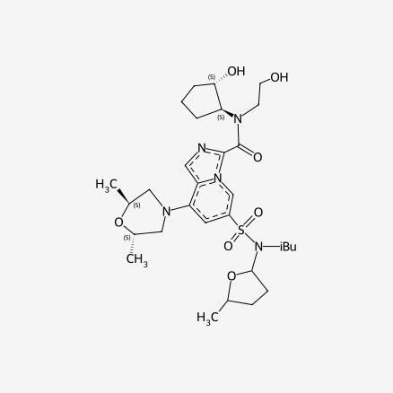 CCC(C)N(C1CCC(C)O1)S(=O)(=O)c1cc(N2C[C@H](C)O[C@@H](C)C2)c2cnc(C(=O)N(CCO)[C@H]3CCC[C@@H]3O)n2c1